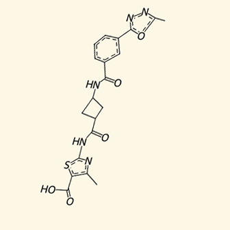 Cc1nnc(-c2cccc(C(=O)NC3CC(C(=O)Nc4nc(C)c(C(=O)O)s4)C3)c2)o1